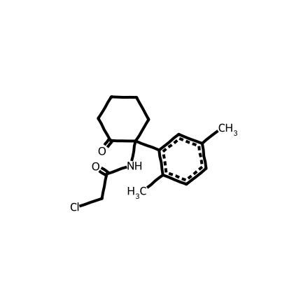 Cc1ccc(C)c(C2(NC(=O)CCl)CCCCC2=O)c1